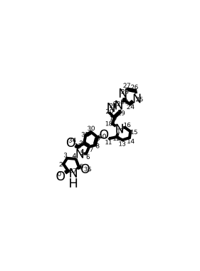 O=C1CCC(N2Cc3cc(OCC4CCCCN4Cc4cnn(-c5cnccn5)c4)ccc3C2=O)C(=O)N1